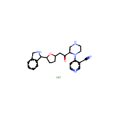 Cl.N#Cc1cnccc1N1CCNCC1C(=O)CC1CCC(C2NCc3ccccc32)O1